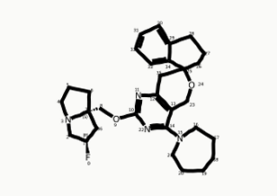 F[C@H]1CN2CCC[C@@]2(COc2nc3c(c(N4CCCCCC4)n2)COC2(CCCc4ccccc42)C3)C1